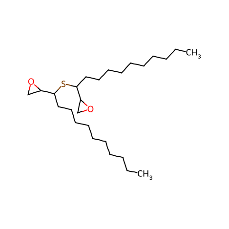 CCCCCCCCCCC(SC(CCCCCCCCCC)C1CO1)C1CO1